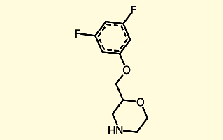 Fc1cc(F)cc(OCC2CNCCO2)c1